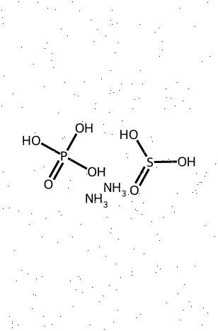 N.N.O=P(O)(O)O.O=S(O)O